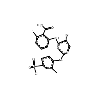 Cc1cc(S(=O)(=O)Cl)ccc1Nc1ncc(Br)c(Nc2cccc(F)c2C(N)=O)n1